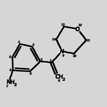 C=C(c1cccc(N)c1)N1CCOCC1